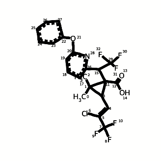 CC1(C)C(C=C(Cl)C(F)(F)F)C1(C(=O)O)C(c1cccc(Oc2ccccc2)n1)C(F)(F)F